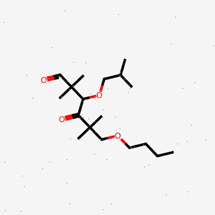 CCCCOCC(C)(C)C(=O)C(OCC(C)C)C(C)(C)C=O